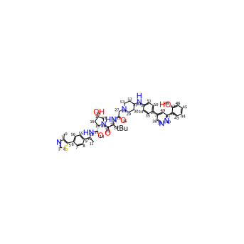 Cc1ncsc1-c1ccc([C@H](C)NC(=O)[C@@H]2C[C@@H](O)CN2C(=O)[C@@H](NC(=O)CN2CCC(Nc3ccc(-c4cnnc(-c5ccccc5O)c4)cc3)CC2)C(C)(C)C)cc1